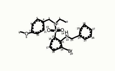 CCN(Cc1ccc(OC)cc1)S(=O)(=O)c1cccc(Br)c1NCc1ccccc1